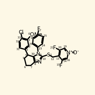 COc1cc(C2CCCc3nc(SCc4c(F)c[n+]([O-])cc4F)n(-c4ccc(F)cc4)c32)ccc1Cl